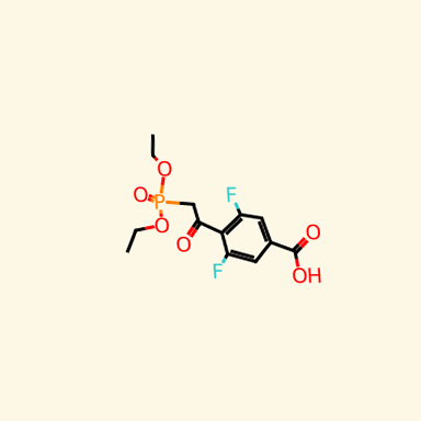 CCOP(=O)(CC(=O)c1c(F)cc(C(=O)O)cc1F)OCC